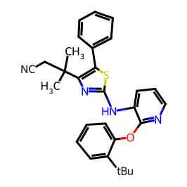 CC(C)(C)c1ccccc1Oc1ncccc1Nc1nc(C(C)(C)CC#N)c(-c2ccccc2)s1